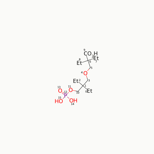 CCC(CC)(COCC(CC)(CC)C(=O)O)COP(=O)(O)O